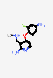 CCNCc1c(Oc2ccc(N)cc2F)ccnc1N